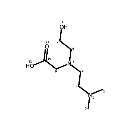 CN(C)CCN(CCO)CC(=O)O